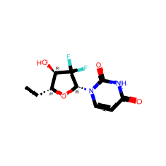 CC[C@H]1O[C@@H](n2ccc(=O)[nH]c2=O)C(F)(F)[C@@H]1O